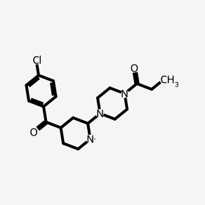 CCC(=O)N1CCN(C2CC(C(=O)c3ccc(Cl)cc3)CC[N]2)CC1